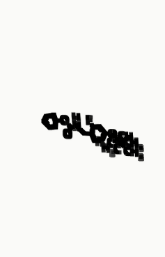 CC(C)(C)[Si](C)(C)Oc1ccc(CNC(=O)Oc2ccccc2)c(F)c1